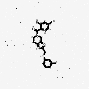 Cc1cccc(OCc2nc3c(o2)CN(C(=O)c2ncc(F)cc2F)CC3)c1